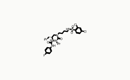 CC(C)C[C@H](CN(CCCCNS(=O)(=O)c1ccc(Cl)cc1Cl)C(=O)NC(C)C)NC(=O)Nc1ccc(F)cc1